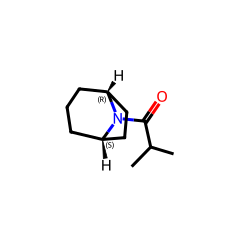 CC(C)C(=O)N1[C@@H]2CCC[C@H]1CC2